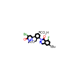 CC(=O)O.CC(=O)OCc1c(-c2cc(Br)c(=O)n(C)n2)cccc1-n1ncc2cc(C(C)(C)C)cc(F)c2c1=O